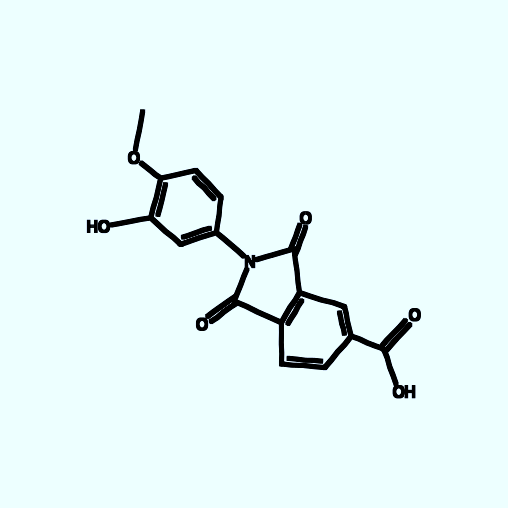 COc1ccc(N2C(=O)c3ccc(C(=O)O)cc3C2=O)cc1O